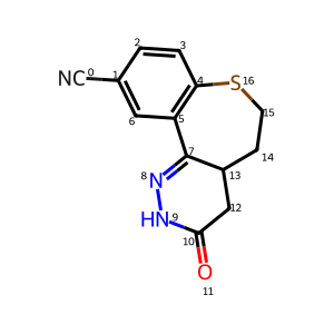 N#Cc1ccc2c(c1)C1=NNC(=O)CC1CCS2